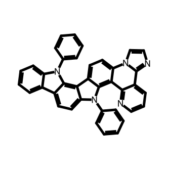 c1ccc(-n2c3ccccc3c3ccc4c(c5ccc6c(c7ncccc7c7nccn67)c5n4-c4ccccc4)c32)cc1